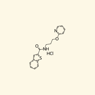 Cl.O=C(NCCCOc1ccccn1)c1cc2ccccc2s1